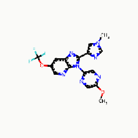 COc1cnc(-n2c(-c3cn(C)cn3)nc3cc(OC(F)(F)F)cnc32)cn1